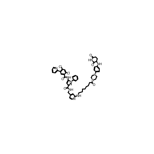 O=C1CCC(Nc2ccc(N3CCN(C(=O)CCCCCCCNc4cc(CNC(=O)c5cc(NC(=O)c6cc(-c7ccccn7)c(Cl)cc6Cl)n(-c6ccccc6)n5)ccn4)CC3)cc2)C(=O)N1